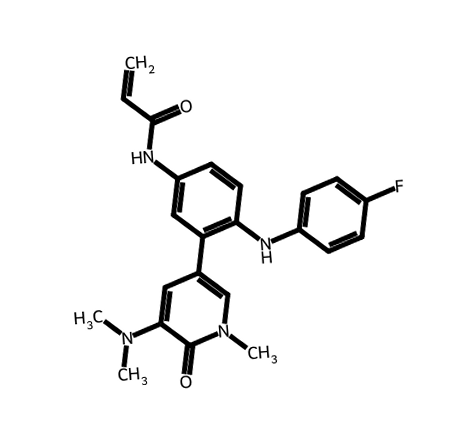 C=CC(=O)Nc1ccc(Nc2ccc(F)cc2)c(-c2cc(N(C)C)c(=O)n(C)c2)c1